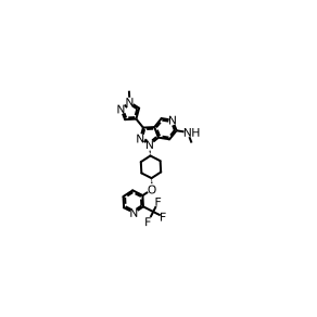 CNc1cc2c(cn1)c(-c1cnn(C)c1)nn2[C@H]1CC[C@@H](Oc2cccnc2C(F)(F)F)CC1